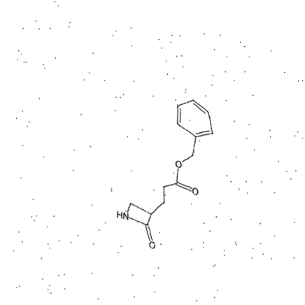 O=C(CCC1CNC1=O)OCc1ccccc1